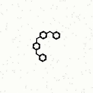 c1ccc(Cc2ccc(Cc3ccc(Cc4ccccc4)cc3)cc2)cc1